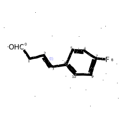 O=[C]C/C=C/c1ccc(F)cc1